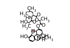 CC(C)C[C@H](NC(=O)[C@H](C)O)C(=O)O[C@@H](C)C(=O)OC1=CC[C@@]2(O)[C@H]3Cc4ccc(O)c5c4[C@@]2(CCN3C)[C@H]1O5